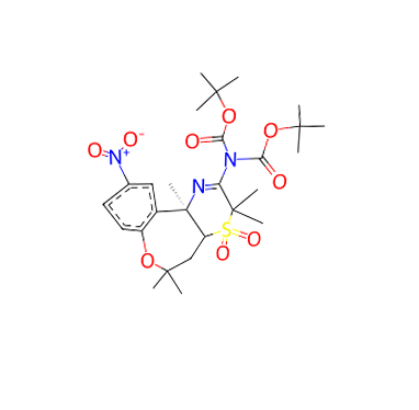 CC(C)(C)OC(=O)N(C(=O)OC(C)(C)C)C1=N[C@]2(C)c3cc([N+](=O)[O-])ccc3OC(C)(C)CC2S(=O)(=O)C1(C)C